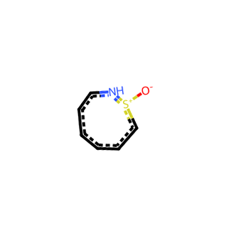 [O-][s+]1cccccc[nH]1